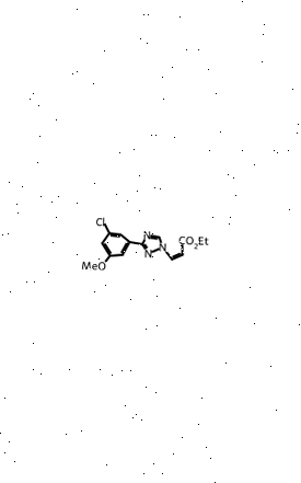 CCOC(=O)/C=C\n1cnc(-c2cc(Cl)cc(OC)c2)n1